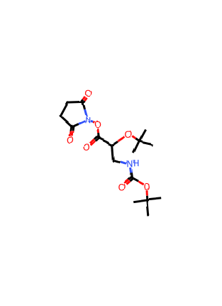 CC(C)(C)OC(=O)NCC(OC(C)(C)C)C(=O)ON1C(=O)CCC1=O